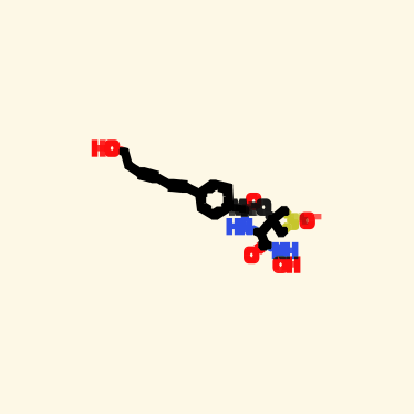 COC1(C(NC(=O)c2ccc(C#CC#CCCO)cc2)C(=O)NO)C[S+]([O-])C1